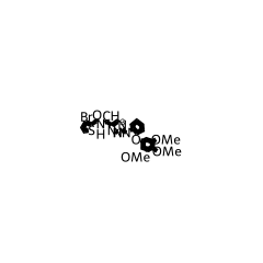 COc1cc(Oc2ccccc2Nc2ncc(C(C)NC(=O)c3sccc3Br)nn2)cc(OC)c1OC